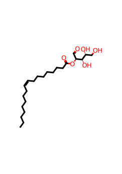 CCCCCCCC/C=C\CCCCCCCC(=O)O[C@@H](C=O)[C@@H](O)[C@H](O)CO